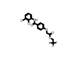 O=C(COc1ccc(C(=O)Nc2cccc(Cl)c2Cl)cc1)OCC(F)(F)F